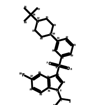 CC(C)n1cc(S(=O)(=O)c2cccc(N3CCN(C(C)(C)C)CC3)c2)c2cc(F)ccc21